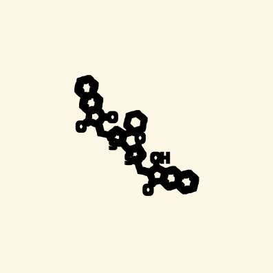 O=C1C(=Cc2cc3c(s2)-c2sc(/C=C4/C(=O)c5cc6ccccc6cc5C4O)cc2OC32CCCCC2)C(=O)c2cc3ccccc3cc21